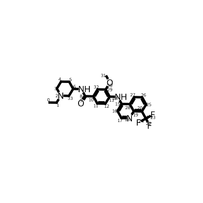 CCN1CCCC(NC(=O)c2ccc(Nc3ccnc4c(C(F)(F)F)cccc34)c(OC)c2)C1